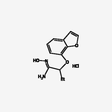 CCC(Oc1cccc2ccoc12)C(N)=NO.Cl